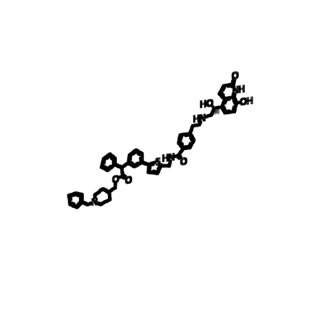 O=C(NCc1ccc(-c2cccc(C(C(=O)OCC3CCN(Cc4ccccc4)CC3)c3ccccc3)c2)s1)c1ccc(CCNC[C@H](O)c2ccc(O)c3[nH]c(=O)ccc23)cc1